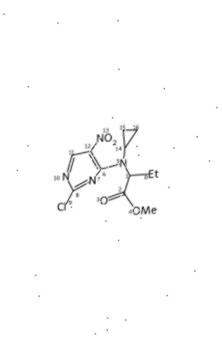 CCC(C(=O)OC)N(c1nc(Cl)ncc1[N+](=O)[O-])C1CC1